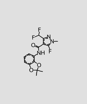 Cn1nc(C(F)F)c(C(=O)Nc2cccc3c2OC(C)(C)O3)c1F